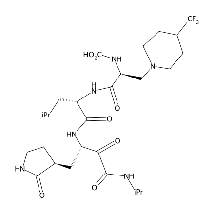 CC(C)C[C@H](NC(=O)[C@H](CN1CCC(C(F)(F)F)CC1)NC(=O)O)C(=O)N[C@@H](C[C@@H]1CCNC1=O)C(=O)C(=O)NC(C)C